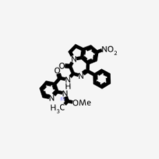 CO/C(C)=N/c1ncccc1C(=O)NC1N=C(c2ccccc2)c2cc([N+](=O)[O-])cc3c2N(CC3)C1=O